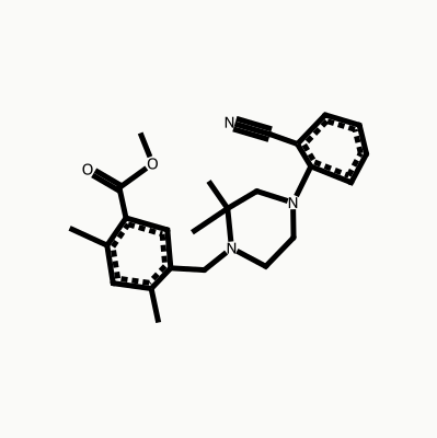 COC(=O)c1cc(CN2CCN(c3ccccc3C#N)CC2(C)C)c(C)cc1C